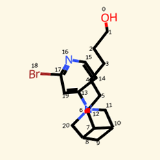 OCCCCCCC1C2CC1CN(c1ccnc(Br)c1)C2